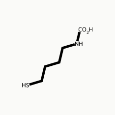 O=C(O)NCCCCS